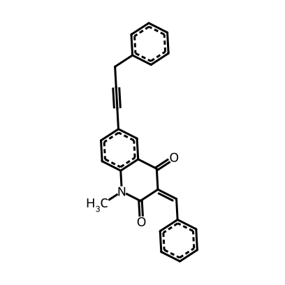 CN1C(=O)C(=Cc2ccccc2)C(=O)c2cc(C#CCc3ccccc3)ccc21